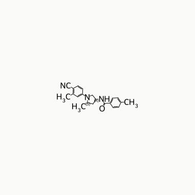 Cc1ccc(C(=O)N[C@@H]2C[C@H](C)N(c3ccc(C#N)c(C)c3)C2)cc1